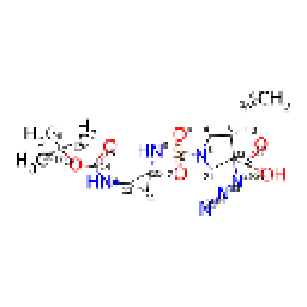 C=CC[C@H]1CN(S(=O)(=O)N[C@@H]2C[C@H]2NC(=O)OC(C)(C)C)C[C@@]1(N=[N+]=[N-])C(=O)O